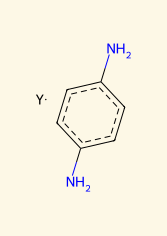 Nc1ccc(N)cc1.[Y]